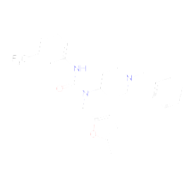 Cc1ccc(CN(C(=O)Nc2cccc(C(F)(F)F)c2)C2CCN(Cc3ccccc3)CC2)o1